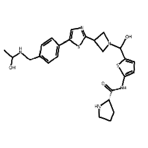 CC(O)NCc1ccc(-c2cnc(C3CN(C(O)c4ccc(NC(=O)[C@@H]5CCCN5)s4)C3)s2)cc1